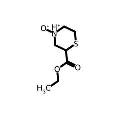 CCOC(=O)C1C[NH+]([O-])CCS1